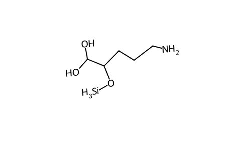 NCCCC(O[SiH3])C(O)O